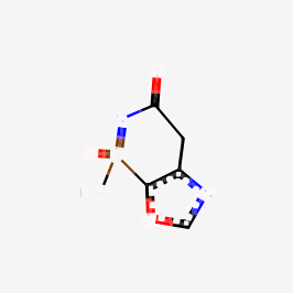 CS1(=O)=NC(=O)Cc2ncoc21